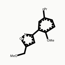 CCCc1ccc(OC)c(-c2cc(COC)on2)c1